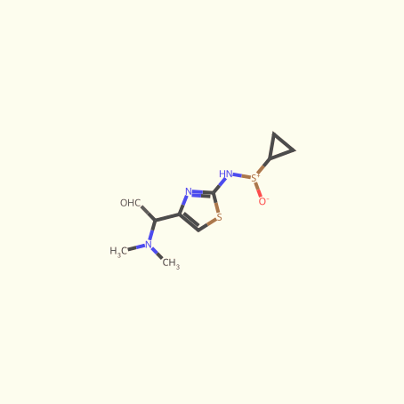 CN(C)C(C=O)c1csc(N[S+]([O-])C2CC2)n1